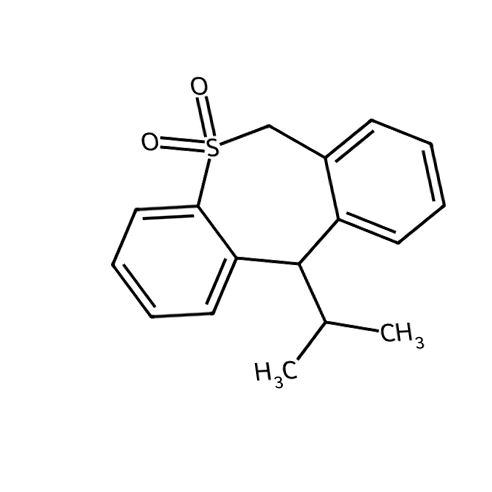 CC(C)C1c2ccccc2CS(=O)(=O)c2ccccc21